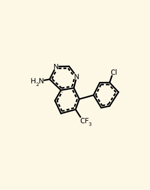 Nc1ncnc2c(-c3cccc(Cl)c3)c(C(F)(F)F)ccc12